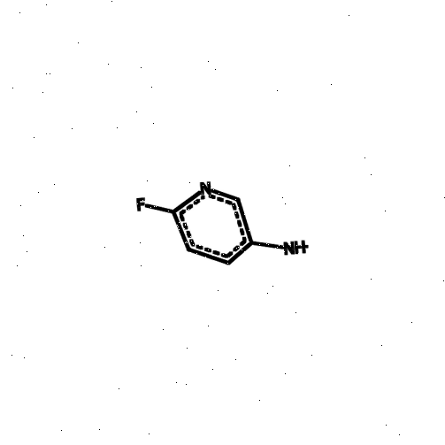 [NH]c1ccc(F)nc1